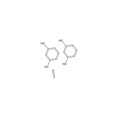 O=S.Oc1cccc(O)c1.Oc1cccc(O)c1